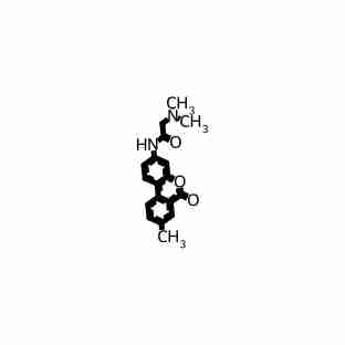 Cc1ccc2c(c1)c(=O)oc1cc(NC(=O)CN(C)C)ccc12